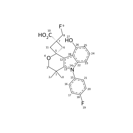 CC1(C)CO[C@]2(C[C@@](CF)(C(=O)O)C2)c2c1n(-c1ccc(F)cc1)c1cccc(O)c12